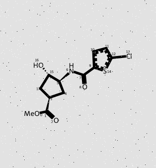 COC(=O)[C@@H]1C[C@H](NC(=O)c2ccc(Cl)s2)[C@@H](O)C1